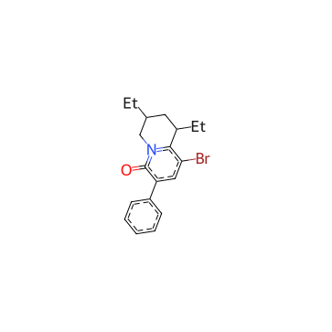 CCC1CC(CC)c2c(Br)cc(-c3ccccc3)c(=O)n2C1